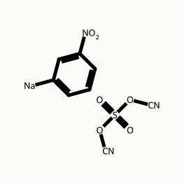 N#COS(=O)(=O)OC#N.O=[N+]([O-])c1ccc[c]([Na])c1